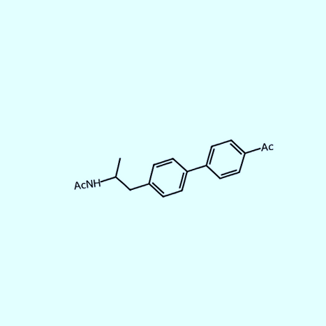 CC(=O)NC(C)Cc1ccc(-c2ccc(C(C)=O)cc2)cc1